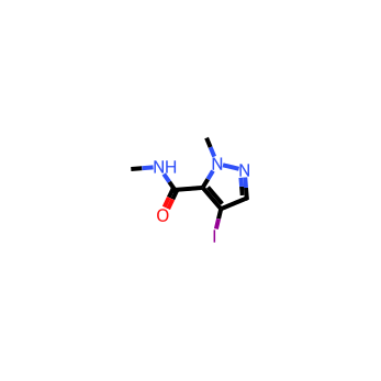 CNC(=O)c1c(I)cnn1C